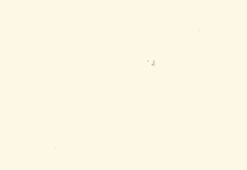 Cc1cc(Cl)ccc1C1CCC(C)N1